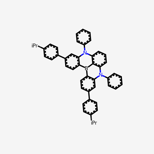 CC(C)c1ccc(-c2ccc3c(c2)N(c2ccccc2)c2cccc4c2B3c2ccc(-c3ccc(C(C)C)cc3)cc2N4c2ccccc2)cc1